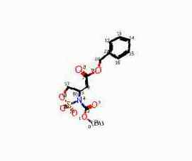 CC(C)(C)OC(=O)N1[C@H](CC(=O)OCc2ccccc2)COS1(=O)=O